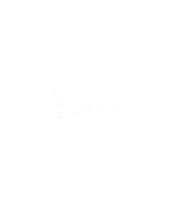 [Ca+2].[Ca+2].[Ca+2].[O-2].[O-2].[O-2]